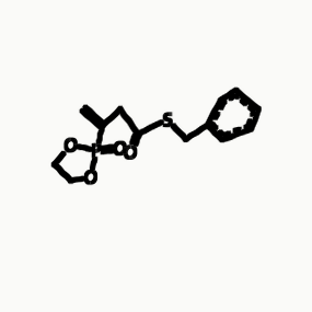 C=C(CC(=O)SCc1ccccc1)P1(=O)OCCO1